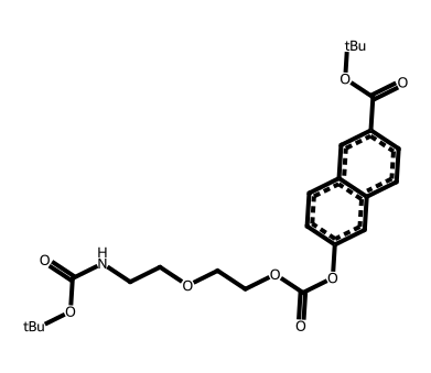 CC(C)(C)OC(=O)NCCOCCOC(=O)Oc1ccc2cc(C(=O)OC(C)(C)C)ccc2c1